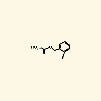 O=C(O)C(=O)OCc1ccccc1F